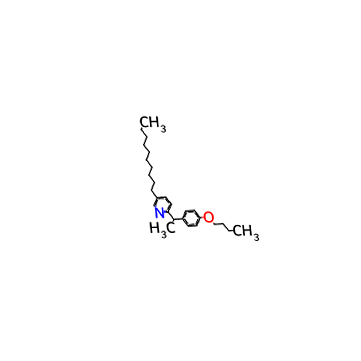 CCCCCCCCCCc1ccc(C(C)c2ccc(OCCCC)cc2)nc1